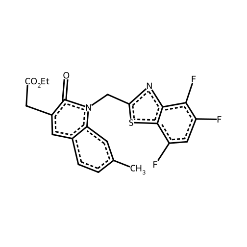 CCOC(=O)Cc1cc2ccc(C)cc2n(Cc2nc3c(F)c(F)cc(F)c3s2)c1=O